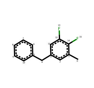 Cc1cc(Cc2ccccc2)cc(F)c1F